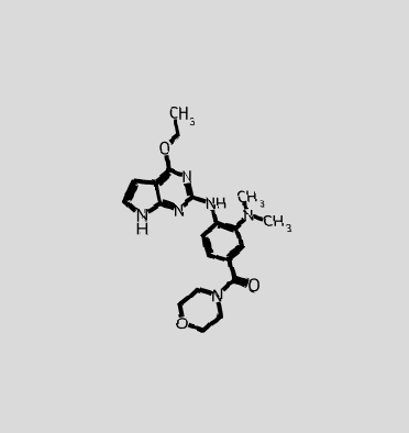 CCOc1nc(Nc2ccc(C(=O)N3CCOCC3)cc2N(C)C)nc2[nH]ccc12